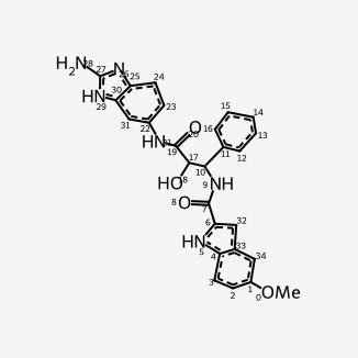 COc1ccc2[nH]c(C(=O)NC(c3ccccc3)C(O)C(=O)Nc3ccc4nc(N)[nH]c4c3)cc2c1